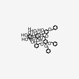 O=c1c(O[C@@H]2O[C@H](CO)[C@@H](O[C@@H]3OC(CO)[C@H](O)[C@H](O)[C@H]3O)[C@H](O)[C@H]2O)c(-c2cc(OCc3ccccc3)c(OCc3ccccc3)c(OCc3ccccc3)c2)oc2cc(OCc3ccccc3)cc(O)c12